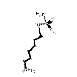 CCCCCCCCCCCCCOS(C)(=O)=O